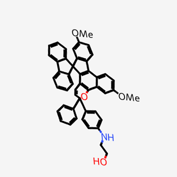 COc1ccc2c(c1)C1(c3ccccc3-c3ccccc31)c1c3c(c4cc(OC)ccc4c1-2)OC(c1ccccc1)(c1ccc(NCCO)cc1)C=C3